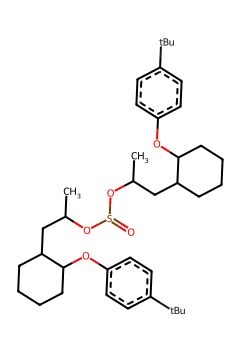 CC(CC1CCCCC1Oc1ccc(C(C)(C)C)cc1)OS(=O)OC(C)CC1CCCCC1Oc1ccc(C(C)(C)C)cc1